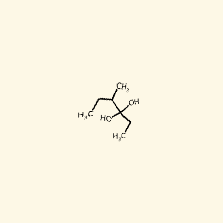 CCC(C)C(O)(O)CC